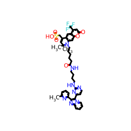 Cc1cccc(-c2nc3ccccn3c2-c2ccnc(NCCCCNC(=O)CCCCCN3c4cc5oc(=O)cc(C(F)(F)F)c5cc4C(CS(=O)(=O)O)=CC3(C)C)n2)n1